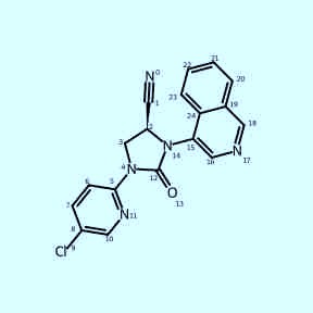 N#C[C@@H]1CN(c2ccc(Cl)cn2)C(=O)N1c1cncc2ccccc12